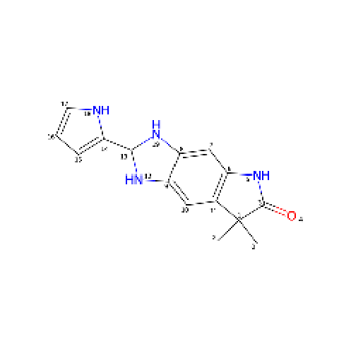 CC1(C)C(=O)Nc2cc3c(cc21)NC(c1ccc[nH]1)N3